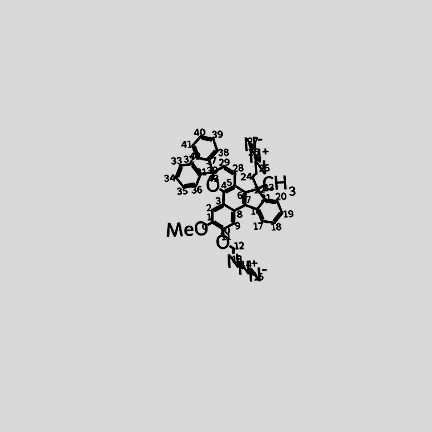 COc1cc2c3c(c4c(c2cc1OCN=[N+]=[N-])-c1ccccc1C4(C)CN=[N+]=[N-])C=CC(c1ccccc1)(c1ccccc1)O3